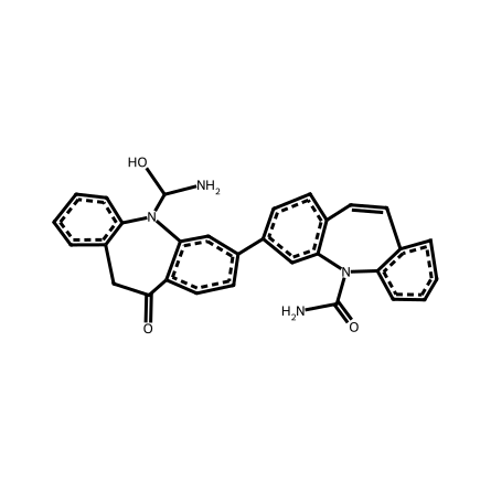 NC(=O)N1c2ccccc2C=Cc2ccc(-c3ccc4c(c3)N(C(N)O)c3ccccc3CC4=O)cc21